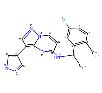 Cc1ccc(F)cc1C(C)Nc1ccn2ncc(-c3cn[nH]c3)c2n1